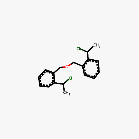 CC(Cl)c1ccccc1COCc1ccccc1C(C)Cl